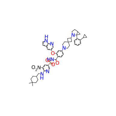 CC1(C)CCC(CNc2ncc(S(=O)(=O)NC(=O)c3ccc(N4CCC5(CC4)CC(N4CCC6CC64c4ccccc4C4CC4)C5)cc3Oc3cnc4[nH]ccc4c3)cc2[N+](=O)[O-])CC1